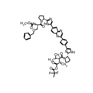 COC(=O)N[C@H](COCc1ccccc1)C(=O)N1CCC[C@H]1c1ncc(-c2ccc3nc(-c4ccc(-c5c[nH]c([C@@H]6CCCN6C(=O)[C@H](C(C)C)N(C)C(=O)OC(=O)C(F)(F)F)n5)cc4)cnc3c2)[nH]1